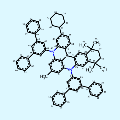 Cc1cc2c3c(c1)N(c1cc(-c4ccccc4)cc(-c4ccccc4)c1)c1cc4c(cc1B3c1ccc(C3CCCCC3)cc1N2c1cc(-c2ccccc2)cc(-c2ccccc2)c1)C(C)(C)CCC4(C)C